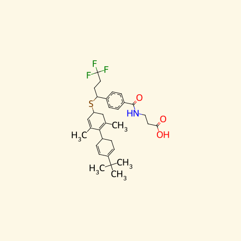 CC1=CC(SC(CCC(F)(F)F)c2ccc(C(=O)NCCC(=O)O)cc2)CC(C)=C1C1C=CC(C(C)(C)C)=CC1